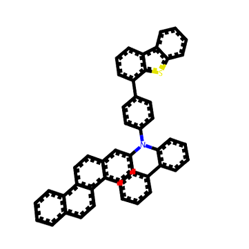 c1ccc(-c2ccccc2N(c2ccc(-c3cccc4c3sc3ccccc34)cc2)c2ccc3c(ccc4c5ccccc5ccc34)c2)cc1